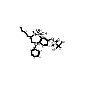 CCCCC1CN(c2ccccc2)c2ccc(OS(=O)(=O)C(F)(F)F)cc2S(O)(O)N1C